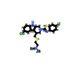 CCN(CC)CCSCC1CN(c2nc3ccc(Cl)cc3s2)Cc2[nH]c3ccc(Cl)cc3c21